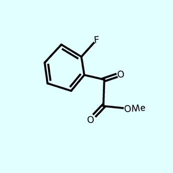 COC(=O)C(=O)c1ccccc1F